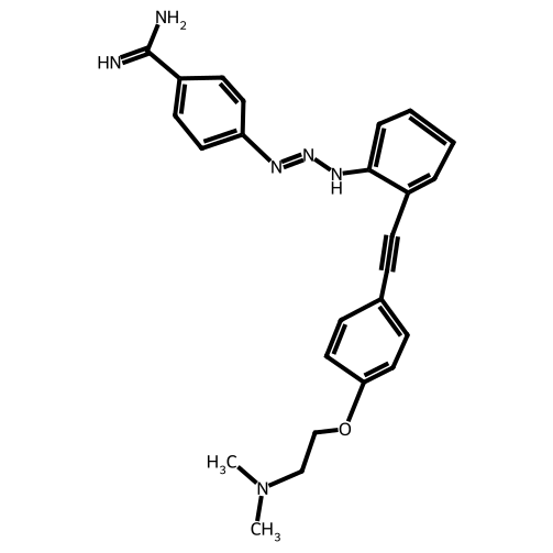 CN(C)CCOc1ccc(C#Cc2ccccc2N/N=N/c2ccc(C(=N)N)cc2)cc1